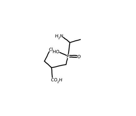 CC(N)P(=O)(O)CC(CCl)C(=O)O